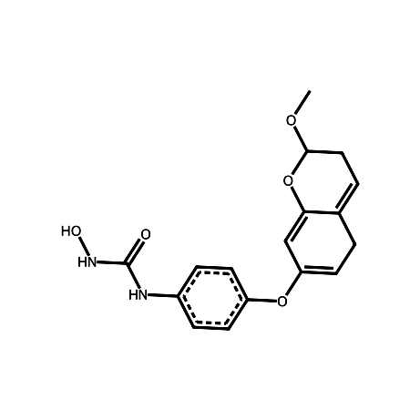 COC1CC=C2CC=C(Oc3ccc(NC(=O)NO)cc3)C=C2O1